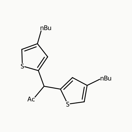 CCCCc1csc(C(C(C)=O)c2cc(CCCC)cs2)c1